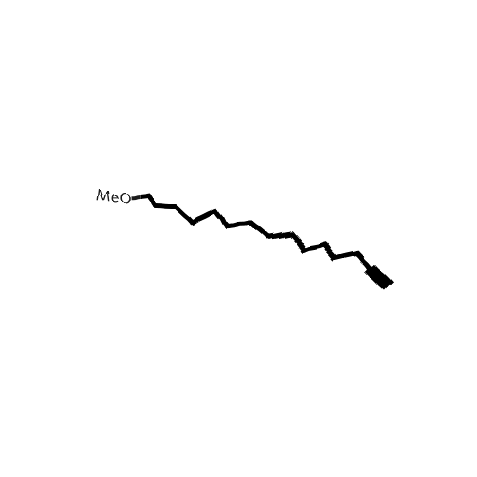 C#CCCCCCCCCCCCCCOC